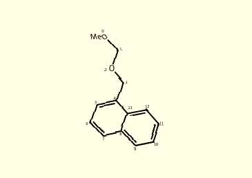 COCOCc1cccc2ccccc12